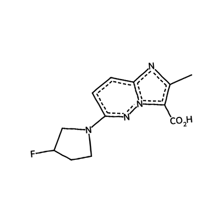 Cc1nc2ccc(N3CCC(F)C3)nn2c1C(=O)O